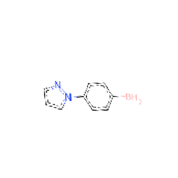 Bc1ccc(-n2cccn2)cc1